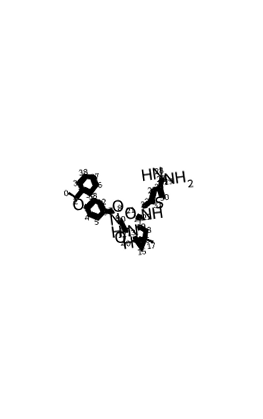 C[C@H](Oc1ccc(C(=O)NCC(=O)N2[C@H]3C[C@@]3(C)C[C@H]2C(=O)NCc2cc(C(=N)N)cs2)cc1)c1ccccc1